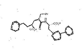 CC(C)CN(C[C@H](CCc1ccccc1)C(=O)O)C(=O)N[C@@H](Cc1cccc(-c2ccccc2)c1)C(=O)O